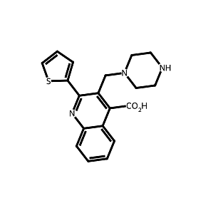 O=C(O)c1c(CN2CCNCC2)c(-c2cccs2)nc2ccccc12